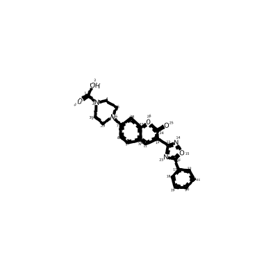 O=C(O)N1CCN(c2ccc3cc(-c4noc(-c5ccccc5)n4)c(=O)oc3c2)CC1